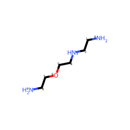 NCCNCCOCCN